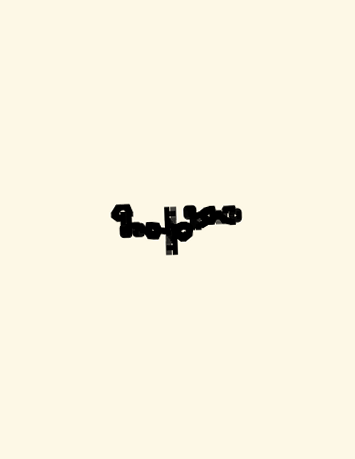 O=C(COc1ccc(C2Nc3ccc(N4Cc5cc(N6CCOCC6)ccc5C4=O)cc3N2)cc1)N1CCCCC1